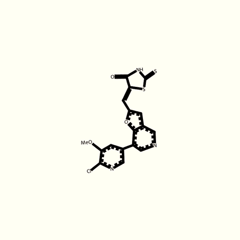 COc1cc(-c2cncc3cc(/C=C4\SC(=S)NC4=O)oc23)cnc1Cl